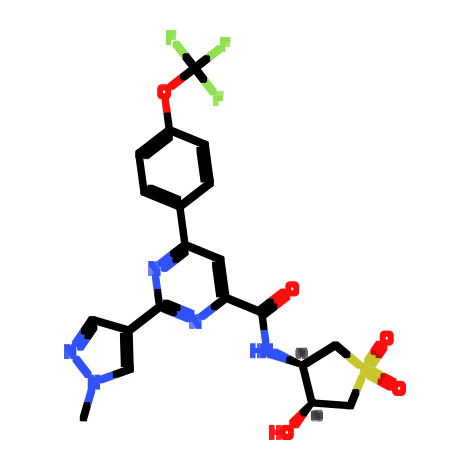 Cn1cc(-c2nc(C(=O)N[C@H]3CS(=O)(=O)C[C@H]3O)cc(-c3ccc(OC(F)(F)F)cc3)n2)cn1